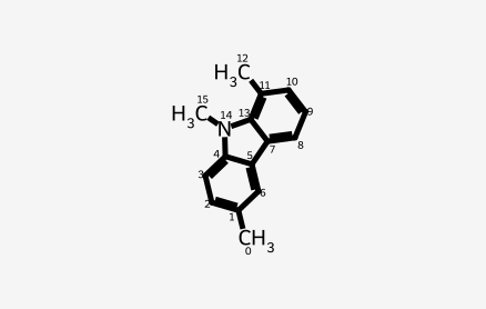 Cc1ccc2c(c1)c1cccc(C)c1n2C